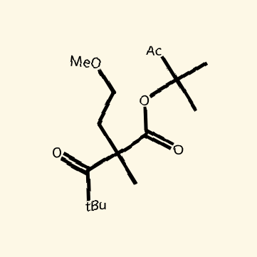 COCCC(C)(C(=O)OC(C)(C)C(C)=O)C(=O)C(C)(C)C